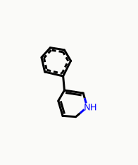 C1=CC(c2ccccc2)=CNC1